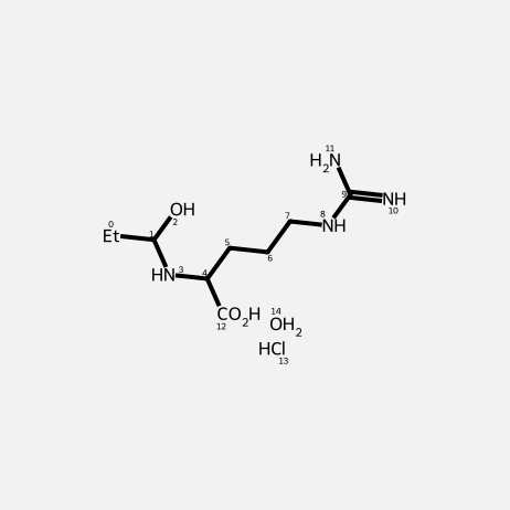 CCC(O)NC(CCCNC(=N)N)C(=O)O.Cl.O